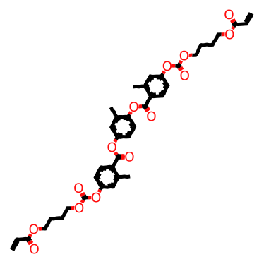 C=CC(=O)OCCCCOC(=O)Oc1ccc(C(=O)Oc2ccc(OC(=O)c3ccc(OC(=O)OCCCCOC(=O)C=C)cc3C)c(C)c2)c(C)c1